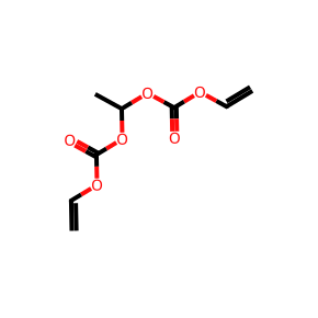 C=COC(=O)OC(C)OC(=O)OC=C